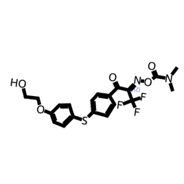 CN(C)C(=O)O/N=C(/C(=O)c1ccc(Sc2ccc(OCCO)cc2)cc1)C(F)(F)F